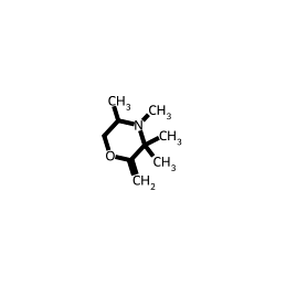 C=C1OCC(C)N(C)C1(C)C